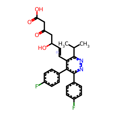 CC(C)c1nnc(-c2ccc(F)cc2)c(-c2ccc(F)cc2)c1/C=C/C(O)CC(=O)CC(=O)O